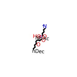 CCCCCCCCCCCCCC(=O)CC(CC(=O)P(O)C(=O)CCCCN(C)C)NC(C)=O